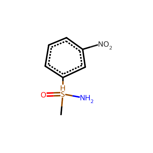 C[SH](N)(=O)c1cccc([N+](=O)[O-])c1